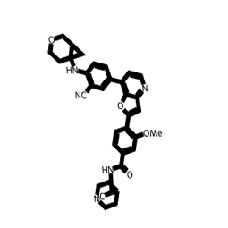 COc1cc(C(=O)NC2CN3CCC2CC3)ccc1-c1cc2nccc(-c3ccc(NC45CCOCC4C5)c(C#N)c3)c2o1